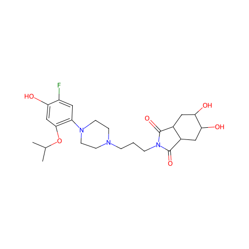 CC(C)Oc1cc(O)c(F)cc1N1CCN(CCCN2C(=O)C3CC(O)C(O)CC3C2=O)CC1